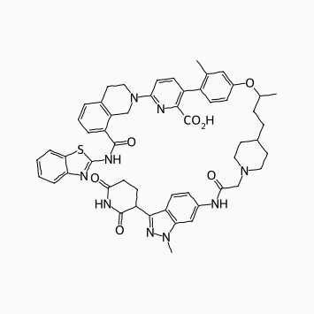 Cc1cc(OC(C)CCC2CCN(CC(=O)Nc3ccc4c(C5CCC(=O)NC5=O)nn(C)c4c3)CC2)ccc1-c1ccc(N2CCc3cccc(C(=O)Nc4nc5ccccc5s4)c3C2)nc1C(=O)O